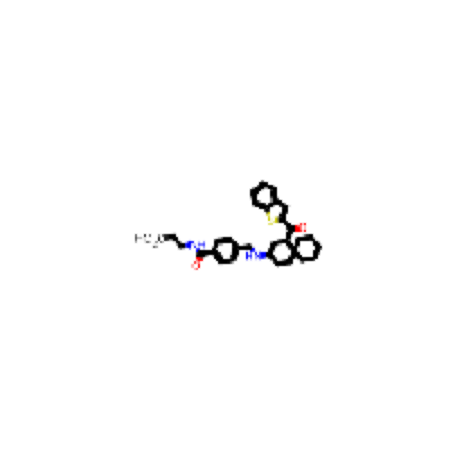 O=C(O)CCNC(=O)c1ccc(CNC2CCC3(CCCCC3)C(C(=O)c3cc4ccccc4s3)C2)cc1